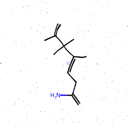 C=C(N)C/C=C(\C)C(C)(C)C(=C)C